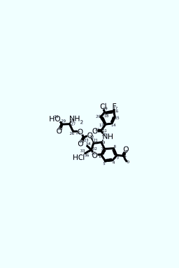 CC(=O)c1ccc2c(c1)[C@@H](NC(=O)c1ccc(F)c(Cl)c1)[C@H](OC(=O)OC[C@H](N)C(=O)O)C(C)(C)O2.Cl